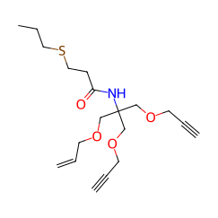 C#CCOCC(COCC#C)(COCC=C)NC(=O)CCSCCC